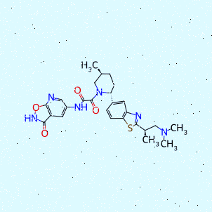 C[C@H]1CC[C@H](c2ccc3sc([C@H](C)CN(C)C)nc3c2)N(C(=O)C(=O)Nc2cnc3o[nH]c(=O)c3c2)C1